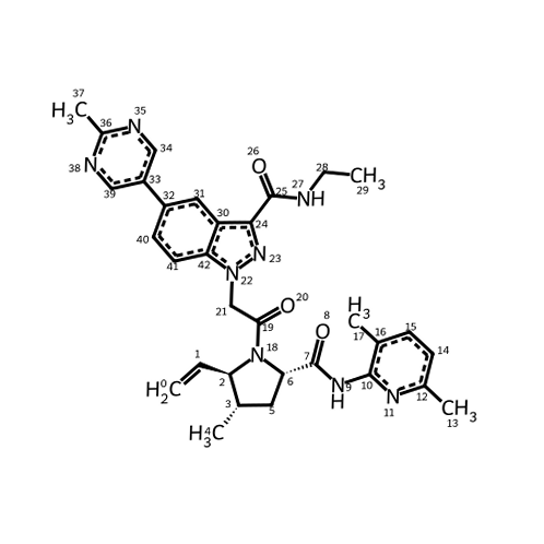 C=C[C@@H]1[C@@H](C)C[C@@H](C(=O)Nc2nc(C)ccc2C)N1C(=O)Cn1nc(C(=O)NCC)c2cc(-c3cnc(C)nc3)ccc21